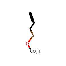 C=CCSOC(=O)O